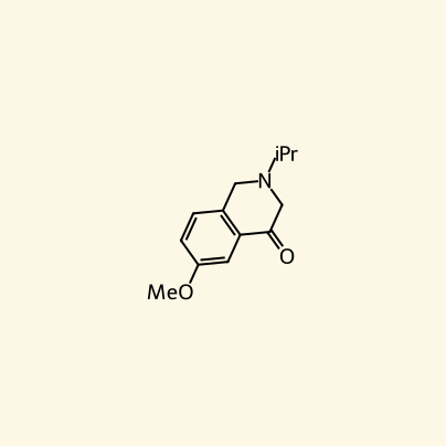 COc1ccc2c(c1)C(=O)CN(C(C)C)C2